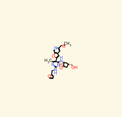 COCc1cc2cc(-c3c(C)nc(NCc4ccco4)nc3N[C@@H]3C[C@H](CO)C[C@H]3O)oc2cn1